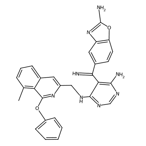 Cc1cccc2cc(CNc3ncnc(N)c3C(=N)c3ccc4oc(N)nc4c3)nc(Oc3ccccc3)c12